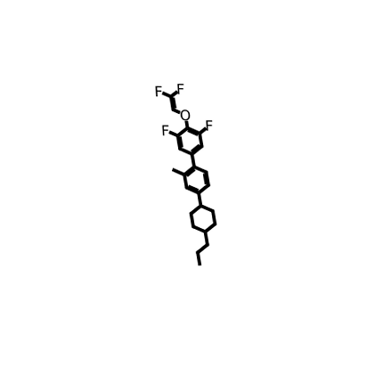 CCCC1CCC(c2ccc(-c3cc(F)c(OC=C(F)F)c(F)c3)c(C)c2)CC1